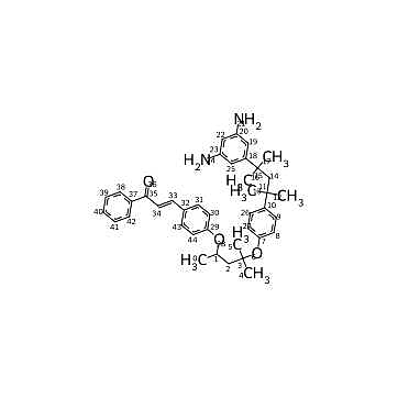 CC(CC(C)(C)Oc1ccc(C(C)(C)CC(C)(C)c2cc(N)cc(N)c2)cc1)Oc1ccc(/C=C/C(=O)c2ccccc2)cc1